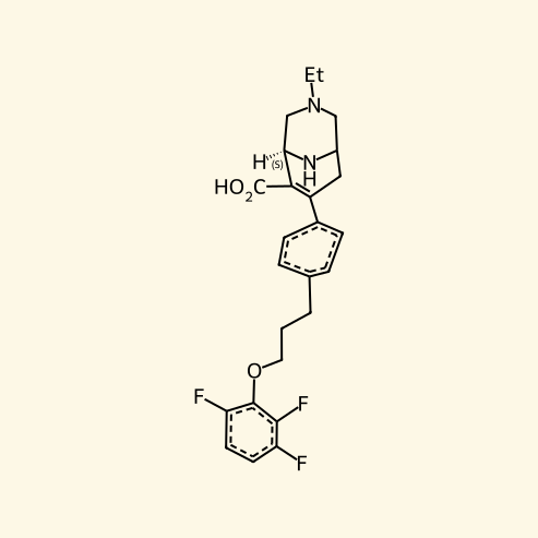 CCN1CC2CC(c3ccc(CCCOc4c(F)ccc(F)c4F)cc3)=C(C(=O)O)[C@@H](C1)N2